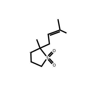 CC(C)=CCC1(C)[CH]CCS1(=O)=O